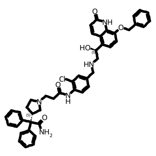 NC(=O)C(c1ccccc1)(c1ccccc1)[C@@H]1CCN(CCC(=O)Nc2ccc(CNC[C@@H](O)c3ccc(OCc4ccccc4)c4[nH]c(=O)ccc34)cc2Cl)C1